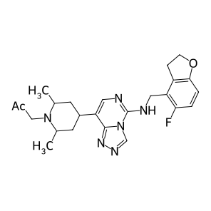 CC(=O)CN1C(C)CC(c2cnc(NCc3c(F)ccc4c3CCO4)n3cnnc23)CC1C